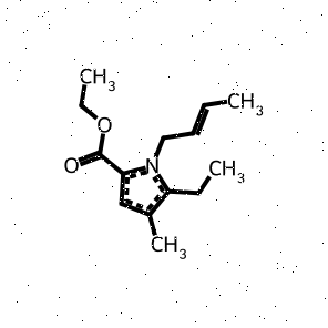 CC=CCn1c(C(=O)OCC)cc(C)c1CC